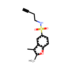 C#CCCNS(=O)(=O)c1ccc2oc(C(=O)O)c(C)c2c1